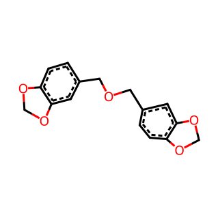 c1cc2c(cc1COCc1ccc3c(c1)OCO3)OCO2